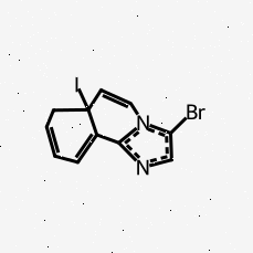 Brc1cnc2n1C=CC1(I)CC=CC=C21